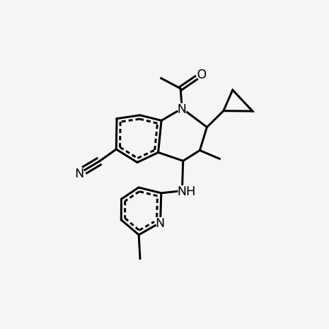 CC(=O)N1c2ccc(C#N)cc2C(Nc2cccc(C)n2)C(C)C1C1CC1